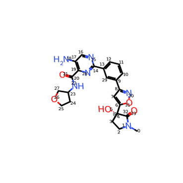 CN1CC[C@@](O)(c2cc(-c3cccc(-c4ncc(N)c(C(=O)NC5CCOC5)n4)c3)no2)C1=O